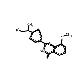 COc1cccc2c(=O)[nH]c(-c3ccc(C(C)CO)cc3)nc12